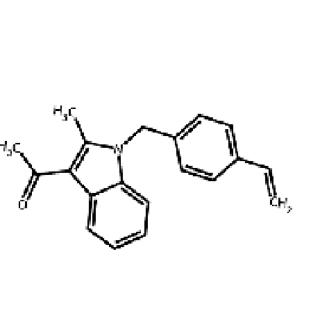 C=Cc1ccc(Cn2c(C)c(C(C)=O)c3ccccc32)cc1